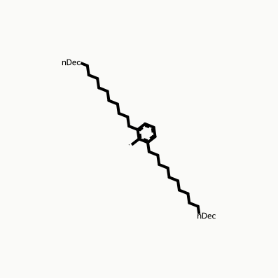 [CH2]c1c(CCCCCCCCCCCCCCCCCCCC)cccc1CCCCCCCCCCCCCCCCCCCC